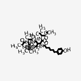 COC(=O)C(NC(=O)C(NC(=O)CCCCCc1ccc(O)cc1)C(CO)CNC(=O)[C@H](C)N(C(=O)OC(C)(C)C)C(=O)[C@H](C)N)C(C)C